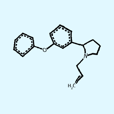 C=CCN1CCCC1c1cccc(Oc2ccccc2)c1